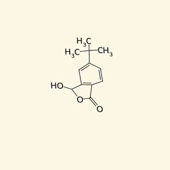 CC(C)(C)c1ccc2c(c1)C(O)OC2=O